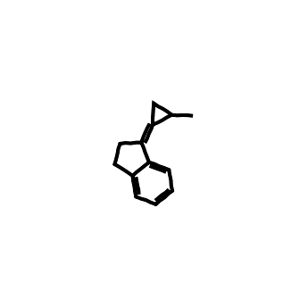 CC1CC1=C1CCc2ccccc21